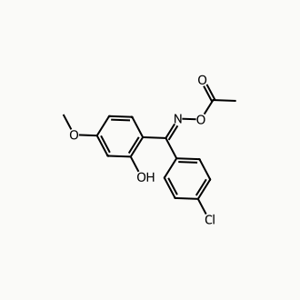 COc1ccc(C(=NOC(C)=O)c2ccc(Cl)cc2)c(O)c1